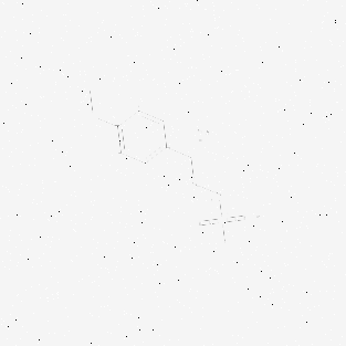 COc1ccc(CNNS(=O)(=O)[O-])cc1.[Na+]